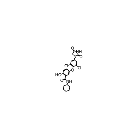 O=C1CN(c2cc(Cl)c(Oc3ccc(O)c(C(=O)NC4CCCCC4)c3)c(Cl)c2)C(=O)N1